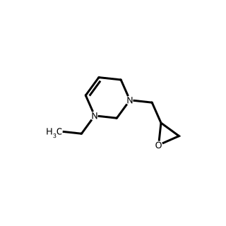 CCN1C=CCN(CC2CO2)C1